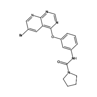 O=C(Nc1cccc(Oc2ncnc3ncc(Br)cc23)c1)N1CCCC1